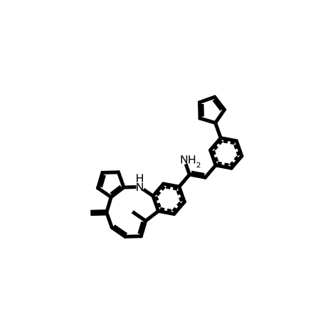 C=C1/C=C\C=C(/C)c2ccc(C(N)=Cc3cccc(C4C=CC=C4)c3)cc2NC2=C1C=CC2